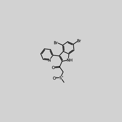 C[S+]([O-])CC(=O)c1[nH]c2cc(Br)cc(Br)c2c1-c1ccccn1